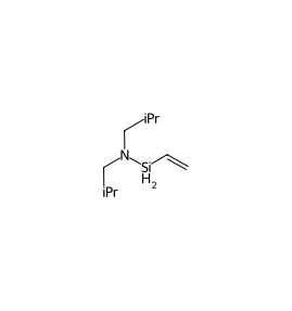 C=C[SiH2]N(CC(C)C)CC(C)C